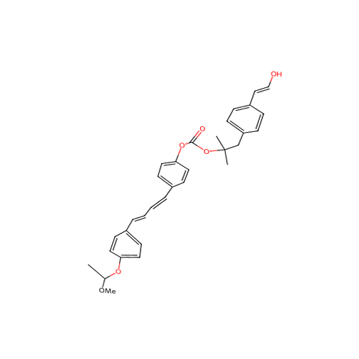 COC(C)Oc1ccc(C=CC=Cc2ccc(OC(=O)OC(C)(C)Cc3ccc(C=CO)cc3)cc2)cc1